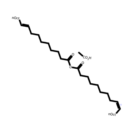 CC(=O)O.CCCCCCCCC=CCCCCCCCC(=O)OC(=O)CCCCCCC/C=C\CCCCCCCC